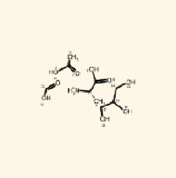 CC(=O)O.C[C@H](N)C(=O)O.O=CO.OCC(O)CO